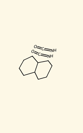 C1CCC2CCCCC2C1.N=C=O.N=C=O